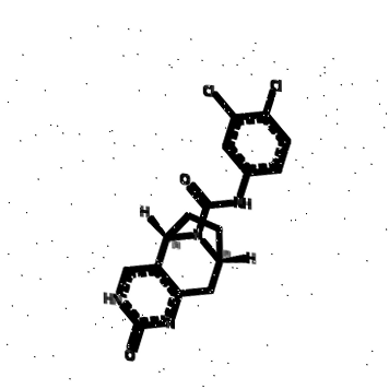 O=C(Nc1ccc(Cl)c(Cl)c1)N1[C@@H]2CC[C@H]1c1c[nH]c(=O)nc1C2